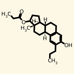 CCCc1cc2c(cc1O)CC[C@@H]1[C@@H]2CC[C@]2(C)C(OC(=O)CC)CC[C@@H]12